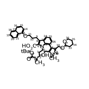 CN(CCCn1c(C(=O)O)c(CCCOc2cccc3ccccc23)c2cccc(-c3c(COC4CCCCO4)nn(C)c3CO)c21)C(=O)OC(C)(C)C